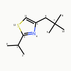 CC(C)c1nc(CC(C)(C)C)cs1